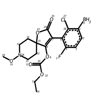 Bc1ccc(F)c(C2=C(OC(=O)OCC)C3(CCN(OC)CC3)OC2=O)c1Cl